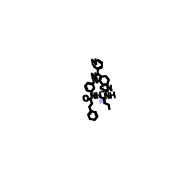 CC/C=C(/C)Nc1nc2c(s1)-c1c(c(-c3cccnc3)nn1C1=CC=CC(NC(=O)CCC3=CCCC=C3)C1)CC2